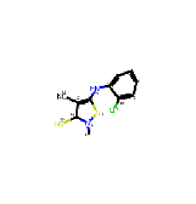 CN1SC(Nc2ccccc2Cl)=C(C#N)C1S